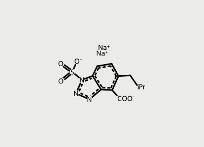 CC(C)Cc1ccc2c(nnn2S(=O)(=O)[O-])c1C(=O)[O-].[Na+].[Na+]